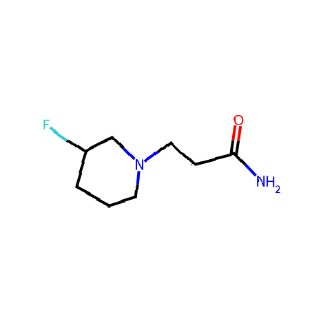 NC(=O)[CH]CN1CCCC(F)C1